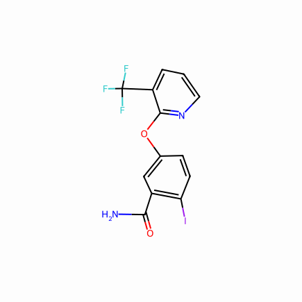 NC(=O)c1cc(Oc2ncccc2C(F)(F)F)ccc1I